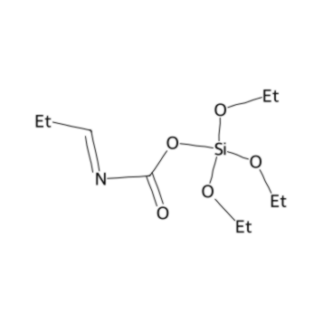 CCC=NC(=O)O[Si](OCC)(OCC)OCC